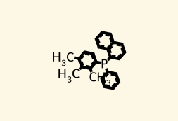 Cc1ccc(P(c2ccccc2)c2cccc3ccccc23)c(C)c1C